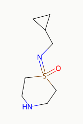 O=S1(=NCC2CC2)CCNCC1